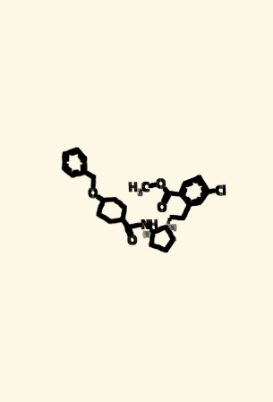 COC(=O)c1ccc(Cl)cc1CC[C@@H]1CCC[C@@H]1NC(=O)C1CCC(OCc2ccccc2)CC1